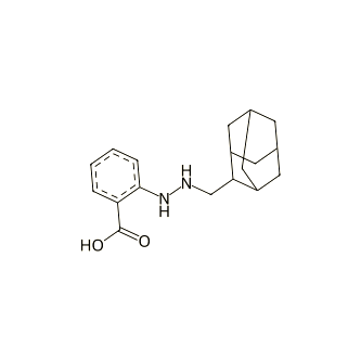 O=C(O)c1ccccc1NNCC1C2CC3CC(C2)CC1C3